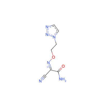 N#C/C(=N/OCCn1ccnn1)C(N)=O